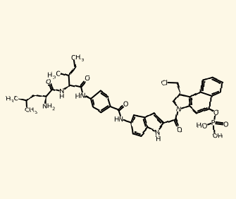 CCC(C)[C@H](NC(=O)[C@@H](N)CC(C)C)C(=O)Nc1ccc(C(=O)Nc2ccc3[nH]c(C(=O)N4C[C@@H](CCl)c5c4cc(OP(=O)(O)O)c4ccccc54)cc3c2)cc1